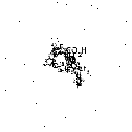 Cc1cc(C)c2c(c1)Oc1ccc(F)c(c1)[C@@H](n1cc(CCN3CC(F)C3)c(C(F)(F)F)cc1=O)C(=O)N[C@@H](CC(=O)O)c1cc-2cc(C)c1F